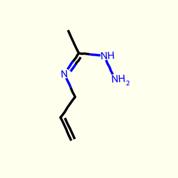 C=CC/N=C(/C)NN